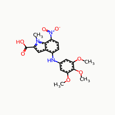 COc1cc(Nc2ccc([N+](=O)[O-])c3c2cc(C(=O)O)n3C)cc(OC)c1OC